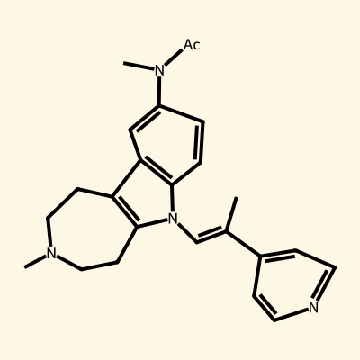 CC(=O)N(C)c1ccc2c(c1)c1c(n2/C=C(\C)c2ccncc2)CCN(C)CC1